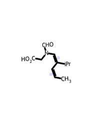 C/C=C\C(=C/N(C=O)CC(=O)O)C(C)C